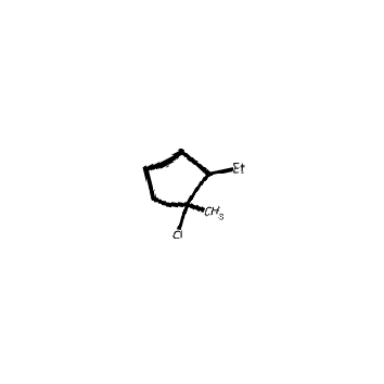 CC[C]1CCCC1(C)Cl